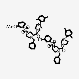 COc1cccc(S(=O)(=O)N2CCN(Cc3ccccc3)C(C(=O)N3CCN(c4cc(C)ccc4C)CC3)C2)c1.Cc1ccc(C)c(N2CCN(C(=O)C3CN(S(=O)(=O)c4cccc(Cl)c4)CCN3Cc3ccccc3)CC2)c1